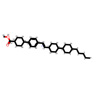 CCCCCC1CCC(C2CCC(/C=C/c3ccc(C4CCC(C(=O)OC)CC4)cc3)CC2)CC1